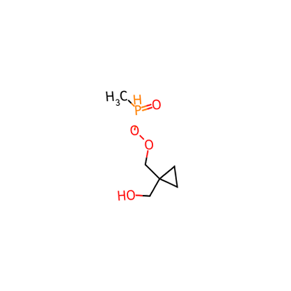 C[PH](=O)OOCC1(CO)CC1